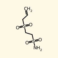 C=CCS(=O)(=O)CCS(N)(=O)=O